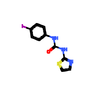 O=C(Nc1ccc(I)cc1)Nc1nccs1